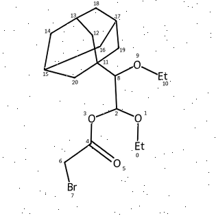 CCOC(OC(=O)CBr)C(OCC)C12CC3CC(CC(C3)C1)C2